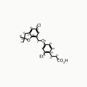 CCc1cc(OCc2cc(Cl)cc3c2OC(C)(C)C3)ccc1CCC(=O)O